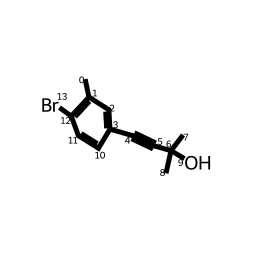 Cc1cc(C#CC(C)(C)O)ccc1Br